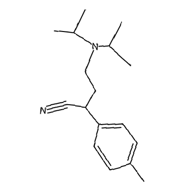 Cc1ccc(C(C#N)CCN(C(C)C)C(C)C)cc1